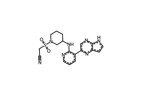 N#CCS(=O)(=O)N1CCCC(Nc2ncccc2-c2cnc3[nH]ccc3n2)C1